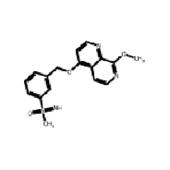 COc1nccc2c(OCc3cccc(S(C)(=N)=O)c3)ccnc12